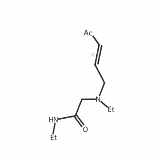 CCNC(=O)CN(CC)C/C=C/C(C)=O